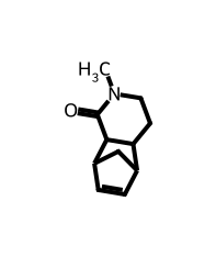 CN1CCC2C3C=CC(C3)C2C1=O